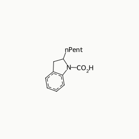 CCCCCC1Cc2ccccc2N1C(=O)O